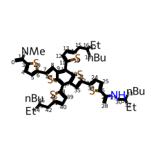 C=C(NC)c1ccc(-c2cc3c(-c4ccc(CC(CC)CCCC)s4)c4sc(-c5ccc(C(=C)NCC(CC)CCCC)s5)cc4c(-c4ccc(CC(CC)CCCC)s4)c3s2)s1